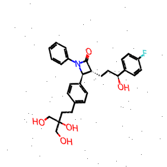 O=C1[C@H](CC[C@H](O)c2ccc(F)cc2)[C@@H](c2ccc(CCC(O)(CO)CO)cc2)N1c1ccccc1